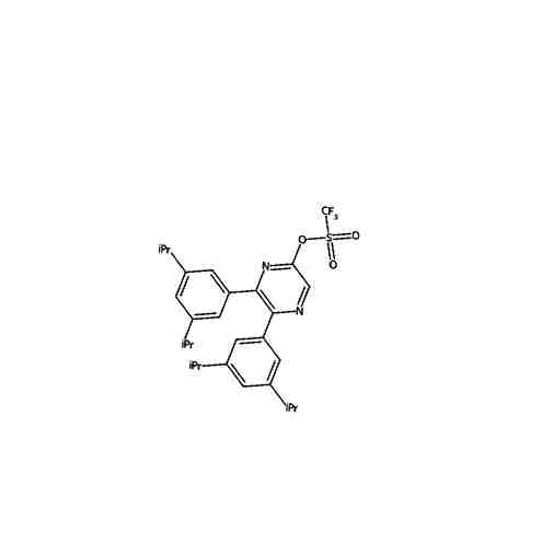 CC(C)c1cc(-c2ncc(OS(=O)(=O)C(F)(F)F)nc2-c2cc(C(C)C)cc(C(C)C)c2)cc(C(C)C)c1